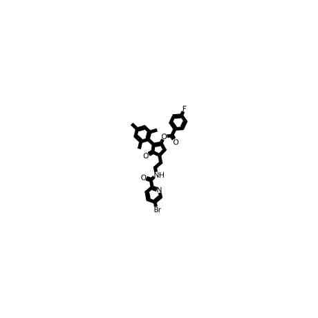 Cc1cc(C)c(C2=C(OC(=O)c3ccc(F)cc3)CC(CCNC(=O)c3ccc(Br)cn3)C2=O)c(C)c1